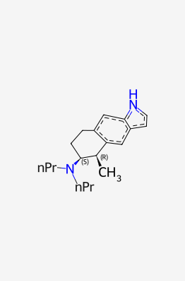 CCCN(CCC)[C@H]1CCc2cc3[nH]ccc3cc2[C@H]1C